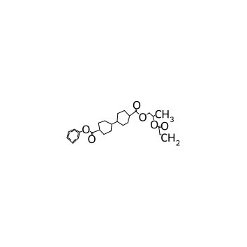 C=CC(=O)OC(C)COC(=O)C1CCC(C2CCC(C(=O)Oc3ccccc3)CC2)CC1